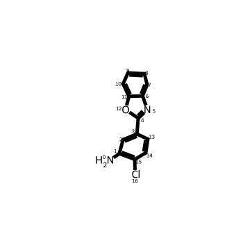 Nc1cc(-c2nc3ccccc3o2)ccc1Cl